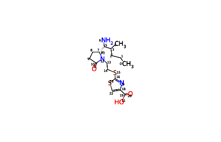 CCCC(C)C(N)[C@H]1CCC(=O)N1CCSc1nc(C(=O)O)cs1